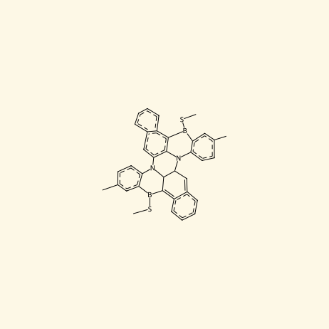 CSB1C2=c3ccccc3=CC3C2N(c2ccc(C)cc21)c1cc2ccccc2c2c1N3c1ccc(C)cc1B2SC